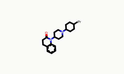 CC(C)C1CCC(N2CCC(N3C(=O)CCc4ccccc43)CC2)CC1